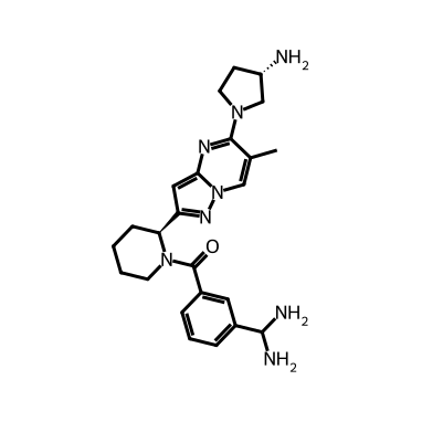 Cc1cn2nc([C@@H]3CCCCN3C(=O)c3cccc(C(N)N)c3)cc2nc1N1CC[C@H](N)C1